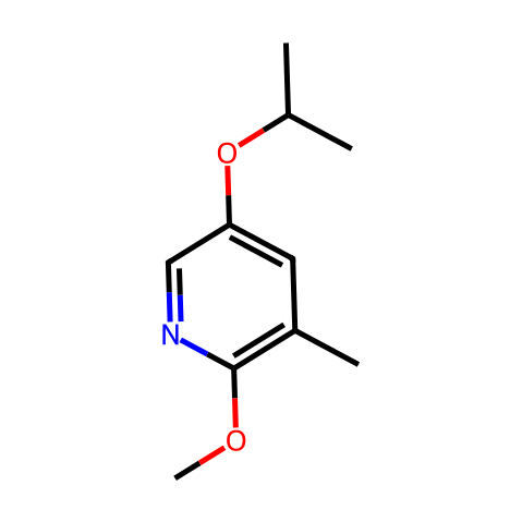 COc1ncc(OC(C)C)cc1C